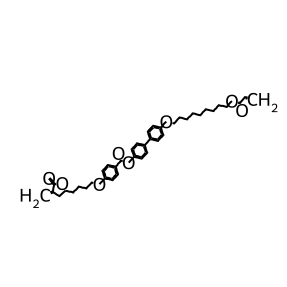 C=CC(=O)OCCCCCCCCCOc1ccc(-c2ccc(OC(=O)c3ccc(OCCCCC4CC(=C)C(=O)O4)cc3)cc2)cc1